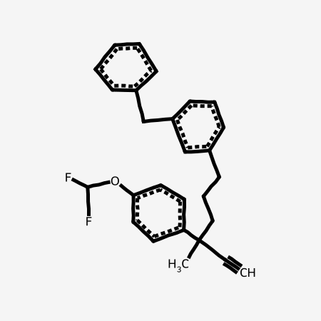 C#CC(C)(CCCc1cccc(Cc2ccccc2)c1)c1ccc(OC(F)F)cc1